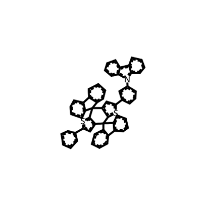 c1ccc(-c2cc3c(s2)C2(c4ccccc4-c4ccccc42)c2cc(-c4cccc(-n5c6ccccc6c6ccccc65)c4)sc2C32c3ccccc3-c3ccccc32)cc1